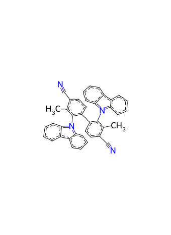 Cc1c(C#N)ccc(-c2ccc(C#N)c(C)c2-n2c3ccccc3c3ccccc32)c1-n1c2ccccc2c2ccccc21